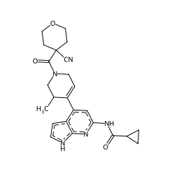 CC1CN(C(=O)C2(C#N)CCOCC2)CC=C1c1cc(NC(=O)C2CC2)nc2[nH]ccc12